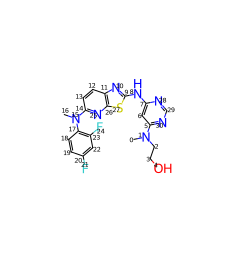 CN(CCO)c1cc(Nc2nc3ccc(N(C)c4ccc(F)cc4F)nc3s2)ncn1